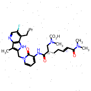 Cc1c(Cn2cccc(NC(=O)[C@@H](CC/C=C/C(=O)N(C)C)CN(C)C(=O)O)c2=O)[nH]c2c(CC(C)C)c(F)cnc12